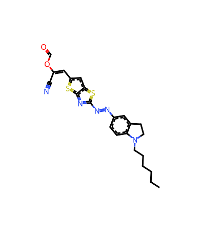 CCCCCCN1CCc2cc(/N=N/c3nc4sc(/C=C(\C#N)OC=O)cc4s3)ccc21